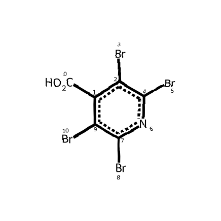 O=C(O)c1c(Br)c(Br)nc(Br)c1Br